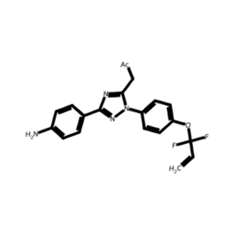 C=CC(F)(F)Oc1ccc(-n2nc(-c3ccc(N)cc3)nc2CC(C)=O)cc1